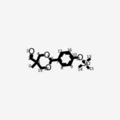 CC1(C=O)COC(c2ccc(O[Si](C)(C)C)cc2)OC1